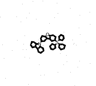 c1ccc(S(c2ccccc2)(c2ccccc2)c2ccc3oc4ccc(-n5c6ccccc6c6ccccc65)cc4c3c2)cc1